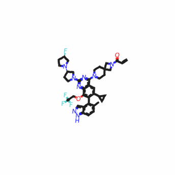 C=CC(=O)N1CC2(CCN(c3nc(N4CC[C@H](N5CC[C@@H](F)C5)C4)nc4c(OCC(F)(F)F)c(-c5c(C)ccc6[nH]ncc56)c(C5CC5)cc34)CC2)C1